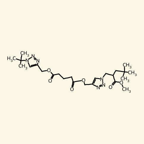 COC(=O)C(Cn1cc(COC(=O)CCCC(=O)OCc2cn(C(C)(C)C)nn2)nn1)CC(C)(C)C